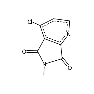 CN1C(=O)c2nccc(Cl)c2C1=O